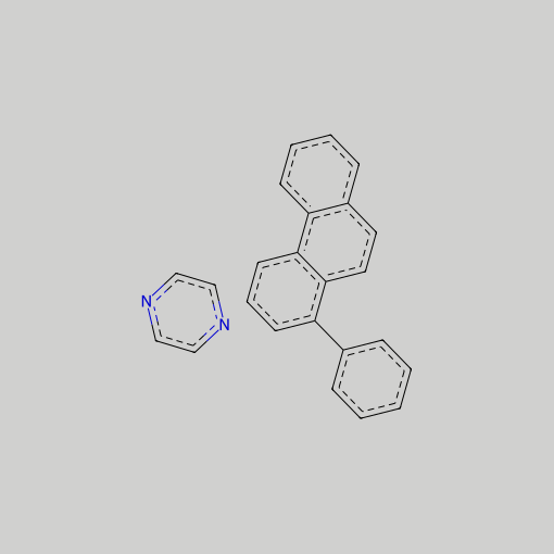 c1ccc(-c2cccc3c2ccc2ccccc23)cc1.c1cnccn1